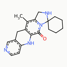 Cc1c2c(c(=O)n3c1CNC31CCCCC1)Nc1ccncc1C2